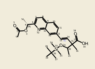 CC(=O)O[C@H](C)c1ccc2ccc(/C=C/C(C)(C(=O)O)C(C)O[Si](C)(C)C(C)(C)C)cc2n1